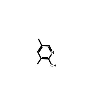 Cc1cnc(O)c(I)c1